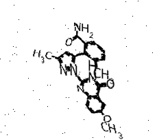 COc1ccc2nc(-n3nc(C)cc3-c3c(C)cccc3C(N)=O)[nH]c(=O)c2c1